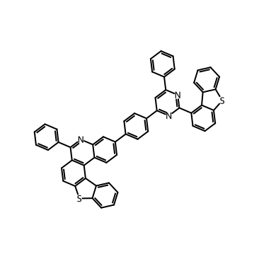 c1ccc(-c2cc(-c3ccc(-c4ccc5c(c4)nc(-c4ccccc4)c4ccc6sc7ccccc7c6c45)cc3)nc(-c3cccc4sc5ccccc5c34)n2)cc1